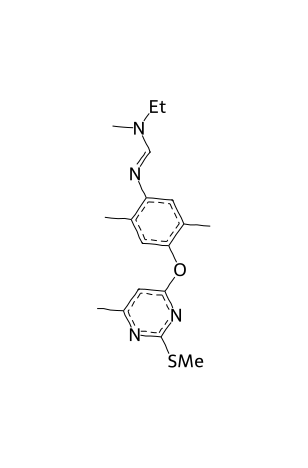 CCN(C)C=Nc1cc(C)c(Oc2cc(C)nc(SC)n2)cc1C